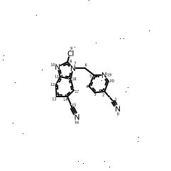 N#Cc1ccc(Cn2c(Cl)nc3ccc(C#N)cc32)nc1